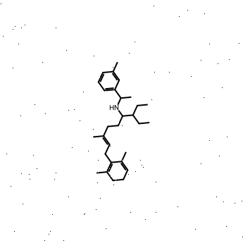 CCC(CC)C(CC/C(C)=C/CC1=C(C)CCC=C1C)NC(C)c1cccc(C)c1